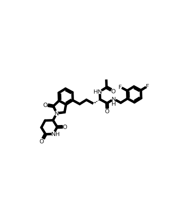 CC(=O)N[C@@H](CCCc1cccc2c1CN(C1CCC(=O)NC1=O)C2=O)C(=O)NCc1ccc(F)cc1F